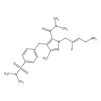 Cc1nn(CC(F)=CCN)c(C(=O)N(C)C)c1Cc1ccc(S(=O)(=O)N(C)C)cc1